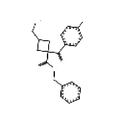 CSCC1CC(C(=O)OCc2ccccc2)(C(=O)c2ccc(C#N)cc2)C1